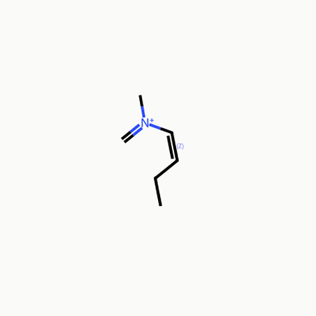 C=[N+](C)/C=C\CC